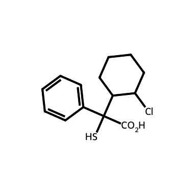 O=C(O)C(S)(c1ccccc1)C1CCCCC1Cl